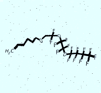 C=CCCCCOCC(F)(F)OC(F)(F)C(F)(F)OC(F)(F)C(F)(F)C(F)(F)C(F)(F)F